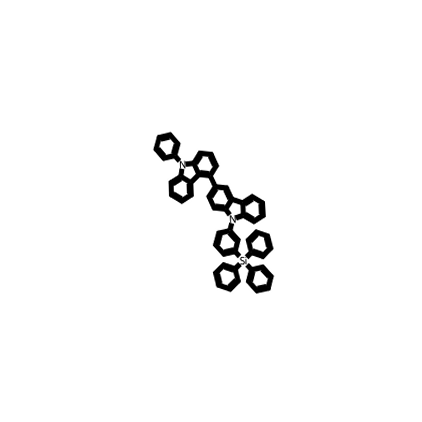 c1ccc(-n2c3ccccc3c3c(-c4ccc5c(c4)c4ccccc4n5-c4cccc([Si](c5ccccc5)(c5ccccc5)c5ccccc5)c4)cccc32)cc1